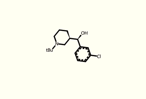 CC(C)(C)N1CCC[C@@H]([C@@H](O)c2cccc(Cl)c2)C1